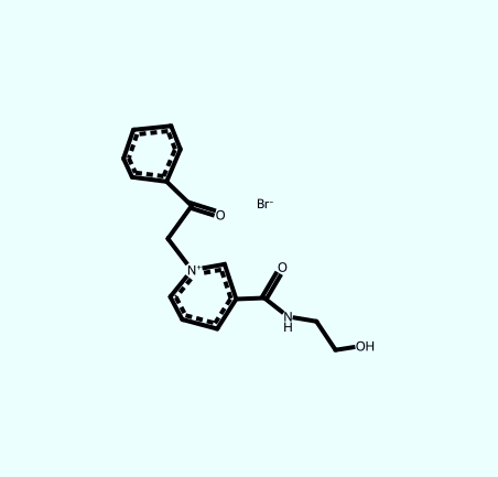 O=C(C[n+]1cccc(C(=O)NCCO)c1)c1ccccc1.[Br-]